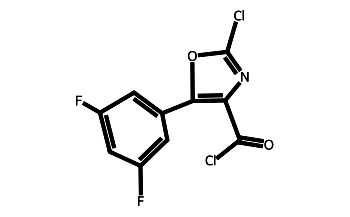 O=C(Cl)c1nc(Cl)oc1-c1cc(F)cc(F)c1